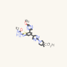 CCNC(=O)Nc1nc2cc(-c3cnc(N4CCC(C)(C(=O)O)CC4)nc3)cc(-c3cncc(OC(C)(C)C)n3)c2s1